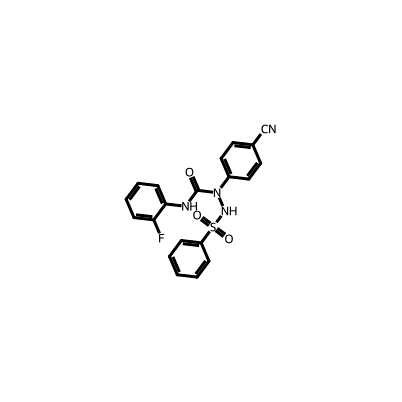 N#Cc1ccc(N(NS(=O)(=O)c2ccccc2)C(=O)Nc2ccccc2F)cc1